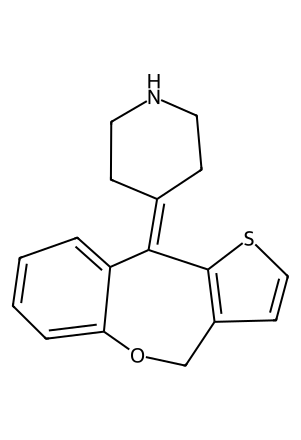 c1ccc2c(c1)OCc1ccsc1C2=C1CCNCC1